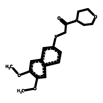 COc1cc2ccc(SCC(=O)N3CCOCC3)cc2cc1OC